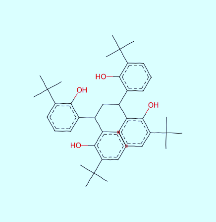 CC(C)(C)c1cccc(C(CC(c2cccc(C(C)(C)C)c2O)c2cccc(C(C)(C)C)c2O)c2cccc(C(C)(C)C)c2O)c1O